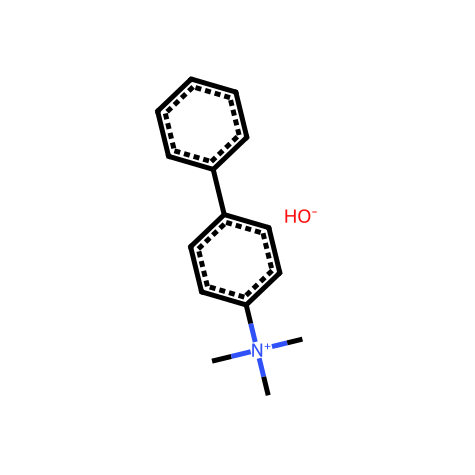 C[N+](C)(C)c1ccc(-c2ccccc2)cc1.[OH-]